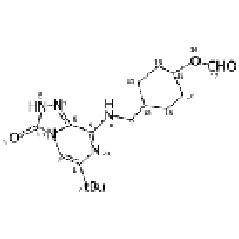 CC(C)(C)c1cn2c(=O)[nH]nc2c(NCC2CCC(OC=O)CC2)n1